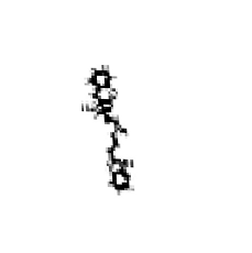 CN(CCCc1nc2ccccc2[nH]1)CCC(C)(C)C1(O)COc2ccccc2C1